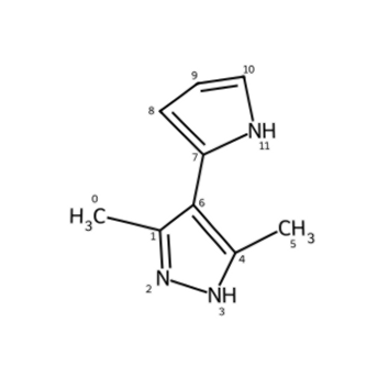 Cc1n[nH]c(C)c1-c1ccc[nH]1